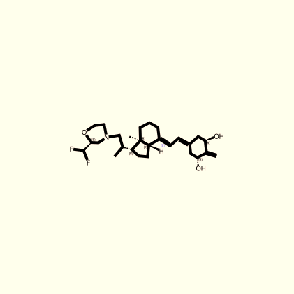 C=C1[C@H](O)CC(=C/C=C2\CCC[C@]3(C)[C@@H](C(C)CN4CCO[C@H](C(F)F)C4)CC[C@@H]23)C[C@H]1O